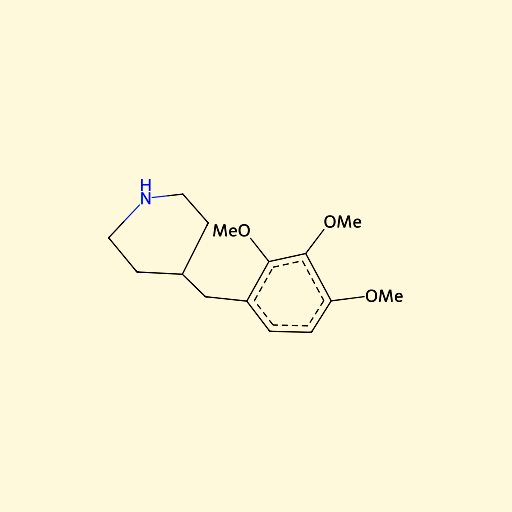 COc1ccc(CC2CCNCC2)c(OC)c1OC